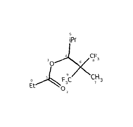 CCC(=O)OC(C(C)C)C(C)(C(F)(F)F)C(F)(F)F